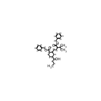 CCCC(O)C1CCC(C(=O)OCc2ccccc2)C(CCC(C(=O)OCc2ccccc2)C(C)C)C1